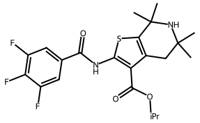 CC(C)OC(=O)c1c(NC(=O)c2cc(F)c(F)c(F)c2)sc2c1CC(C)(C)NC2(C)C